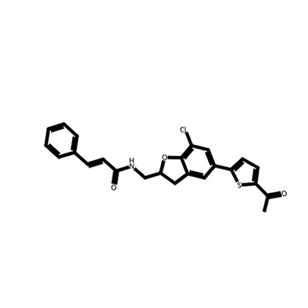 CC(=O)c1ccc(-c2cc(Cl)c3c(c2)CC(CNC(=O)C=Cc2ccccc2)O3)s1